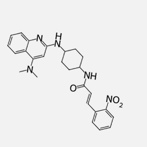 CN(C)c1cc(NC2CCC(NC(=O)/C=C/c3ccccc3[N+](=O)[O-])CC2)nc2ccccc12